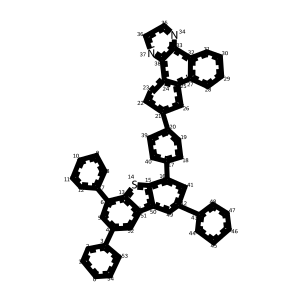 c1ccc(-c2cc(-c3ccccc3)c3sc4c(-c5ccc(-c6ccc7c(c6)c6ccccc6c6nccnc76)cc5)cc(-c5ccccc5)cc4c3c2)cc1